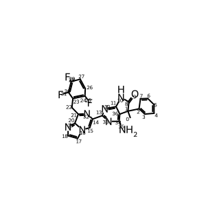 CC1(c2ccccc2)C(=O)Nc2nc(-c3cn4ccnc4c(Cc4c(F)ccc(F)c4F)n3)nc(N)c21